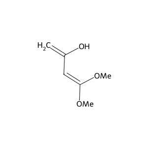 C=C(O)C=C(OC)OC